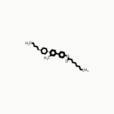 CCCCCCCC(=O)Oc1ccc(-c2ccc([C@H]3CC[C@H](CCCCC)CC3)c(C)c2)cc1